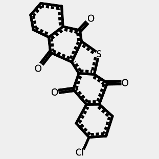 O=c1c2ccccc2c(=O)c2c1sc1c(=O)c3ccc(Cl)cc3c(=O)c12